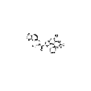 CN(Cc1ccc2c(c1)OCO2)C(=O)c1cc2cc(Cl)c3c(c2o1)C1(CCCCC1)NC(=O)N3